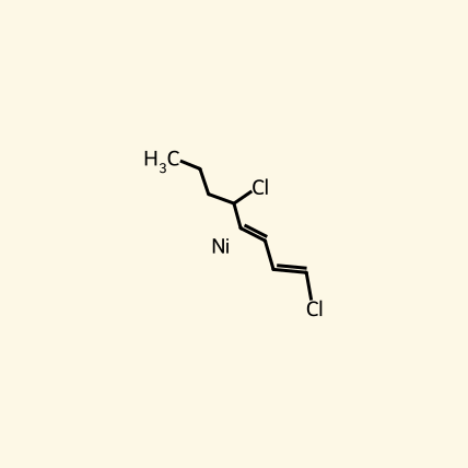 CCCC(Cl)C=CC=CCl.[Ni]